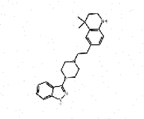 CC1(C)CCNc2ccc(CCN3CCN(c4n[nH]c5ccccc45)CC3)cc21